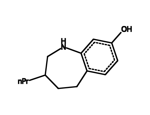 CCCC1CCc2ccc(O)cc2NC1